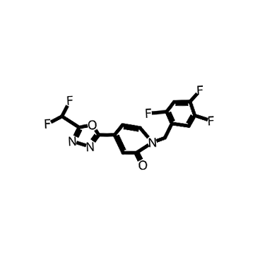 O=c1cc(-c2nnc(C(F)F)o2)ccn1Cc1cc(F)c(F)cc1F